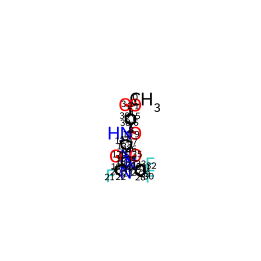 COC(=O)c1ccc(C(=O)NC2CCC(n3c(=O)c4cc(F)cnc4n(-c4ccc(F)c(F)c4)c3=O)CC2)cc1